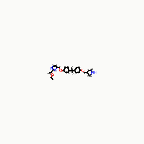 C=C(OCC)c1nccc(COc2ccc(C(C)(C)c3ccc(OCC4CCNCC4)cc3)cc2)n1